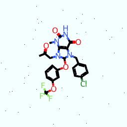 CC(=O)CN1c2c(c(=O)[nH]c(=O)n2C)N(Cc2ccc(Cl)cc2)C1Oc1cccc(OC(F)(F)F)c1